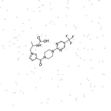 CC(Cn1ccc(C(=O)N2CCN(c3ncc(C(F)(F)F)cn3)CC2)c1)NC(=O)O